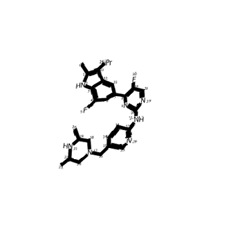 Cc1[nH]c2c(F)cc(-c3nc(Nc4ccc(CN5CC(C)NC(C)C5)cn4)ncc3F)cc2c1C(C)C